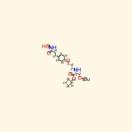 CC(C)(C)OC[C@H](NCCCOc1ccc(/C=C/C(=O)NO)cc1)C(=O)OC1CCCC1